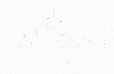 CC(C)[C@@H](N)C(=O)N1CCC2(CC1)C(=O)N(C)C(=O)N2c1ccc2c(c1)c(Cc1ccccc1)nn2C(=O)O.Cl